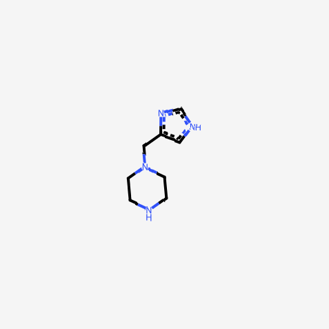 [c]1nc(CN2CCNCC2)c[nH]1